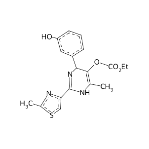 CCOC(=O)OC1=C(C)NC(c2csc(C)n2)=NC1c1cccc(O)c1